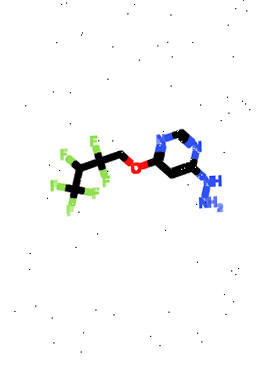 NNc1cc(OCC(F)(F)C(F)C(F)(F)F)ncn1